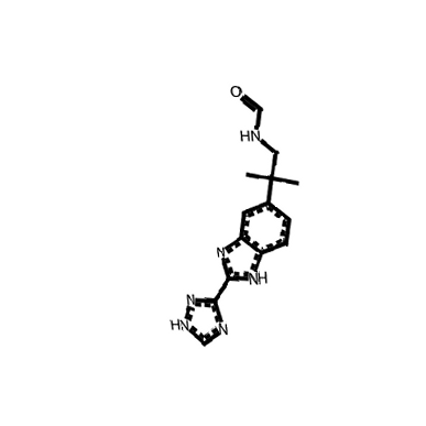 CC(C)(CNC=O)c1ccc2[nH]c(-c3nc[nH]n3)nc2c1